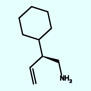 C=C[C@H](CN)C1CCCCC1